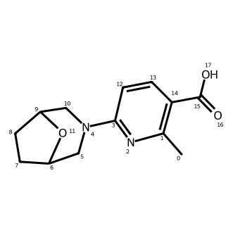 Cc1nc(N2CC3CCC(C2)O3)ccc1C(=O)O